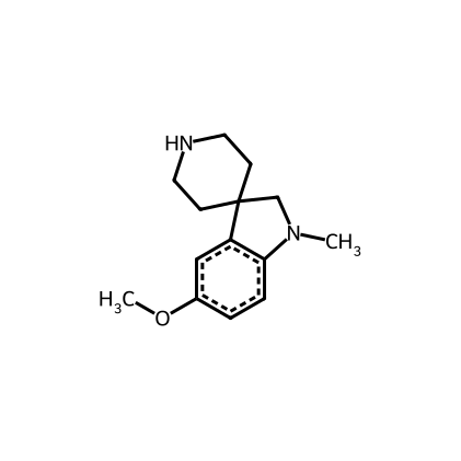 COc1ccc2c(c1)C1(CCNCC1)CN2C